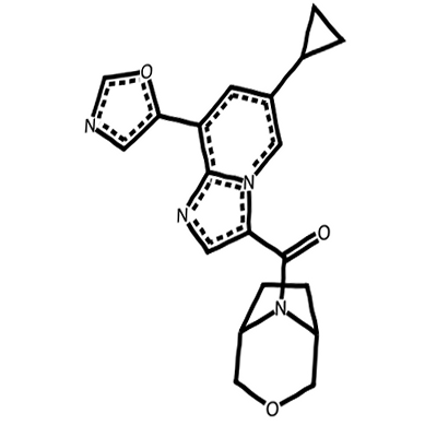 O=C(c1cnc2c(-c3cnco3)cc(C3CC3)cn12)N1C2CCC1COC2